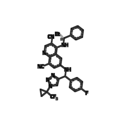 CC[C@@H](Nc1c(C#N)cnc2c(C#N)cc(NC(c3ccc(F)cc3)c3cn(C4(C(F)(F)F)CC4)nn3)cc12)c1ccccc1